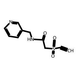 C#CS(=O)(=O)CC(=O)NCc1cccnc1